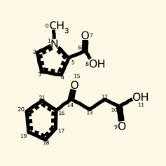 Cn1cccc1C(=O)O.O=C(O)CCC(=O)c1ccccc1